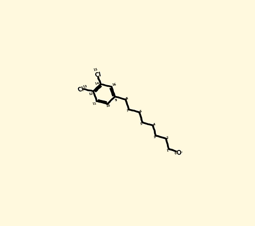 [O]CCCCCCCCc1ccc(Cl)c(Cl)c1